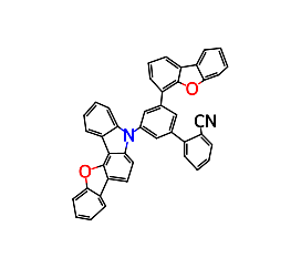 N#Cc1ccccc1-c1cc(-c2cccc3c2oc2ccccc23)cc(-n2c3ccccc3c3c4oc5ccccc5c4ccc32)c1